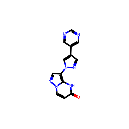 O=c1ccn2ncc(-n3cc(-c4cncnc4)cn3)c2[nH]1